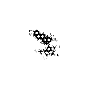 CC(=O)OCC1OC(OC(=O)[C@]23CCC(C)(C)C[C@H]2C2=CCC4[C@@]5(C)CC[C@H](O)C(C)(C)C5CC[C@@]4(C)[C@]2(C)CC3O)C(OC(C)=O)C(OC(C)=O)C1OC(C)=O